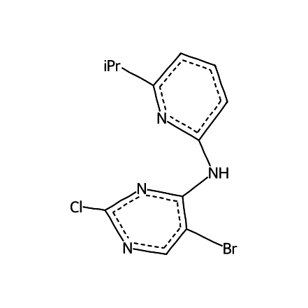 CC(C)c1cccc(Nc2nc(Cl)ncc2Br)n1